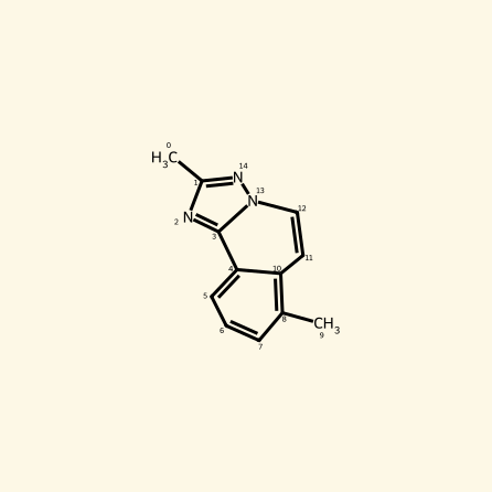 Cc1nc2c3cccc(C)c3ccn2n1